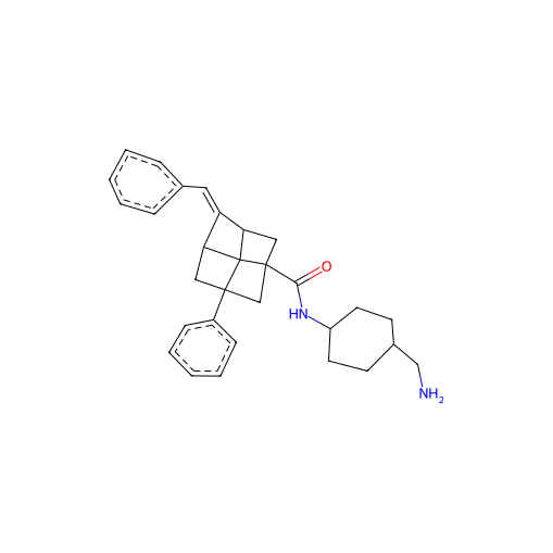 NCC1CCC(NC(=O)C23CC4/C(=C/c5ccccc5)C5CC(c6ccccc6)(C2)C453)CC1